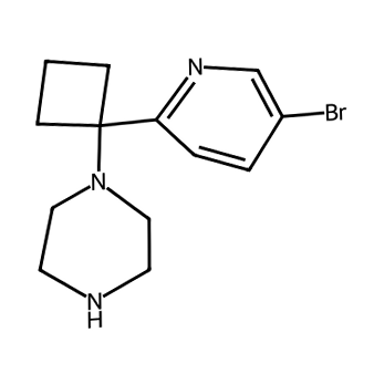 Brc1ccc(C2(N3CCNCC3)CCC2)nc1